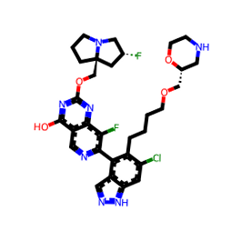 Oc1nc(OC[C@@]23CCCN2C[C@H](F)C3)nc2c(F)c(-c3c(CCCCOC[C@H]4CNCCO4)c(Cl)cc4[nH]ncc34)ncc12